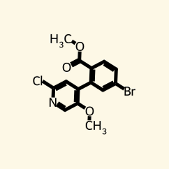 COC(=O)c1ccc(Br)cc1-c1cc(Cl)ncc1OC